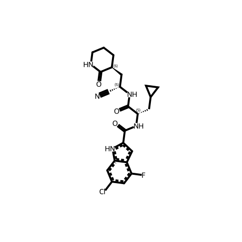 N#C[C@H](C[C@@H]1CCCNC1=O)NC(=O)[C@H](CC1CC1)NC(=O)c1cc2c(F)cc(Cl)cc2[nH]1